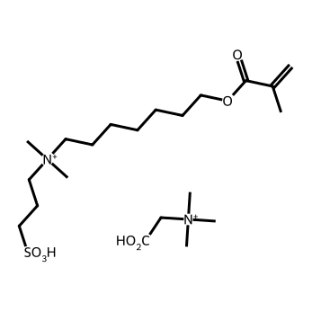 C=C(C)C(=O)OCCCCCCC[N+](C)(C)CCCS(=O)(=O)O.C[N+](C)(C)CC(=O)O